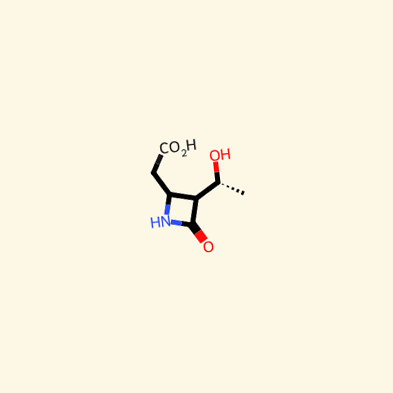 C[C@@H](O)C1C(=O)NC1CC(=O)O